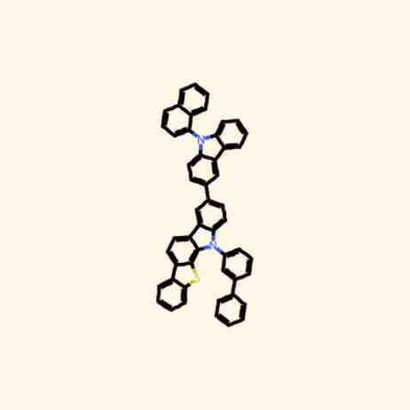 c1ccc(-c2cccc(-n3c4ccc(-c5ccc6c(c5)c5ccccc5n6-c5cccc6ccccc56)cc4c4ccc5c6ccccc6sc5c43)c2)cc1